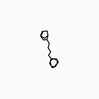 C1=C2CC(C1)C(CCCCc1ccccc1)C2